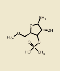 B[C@@H]1O[C@H](COC)C(OP(C)(=O)O)[C@@H]1O